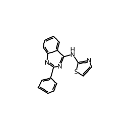 c1ccc(-c2nc(Nc3nccs3)c3ccccc3n2)cc1